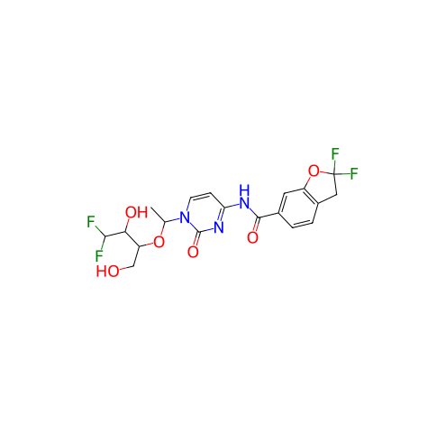 CC(OC(CO)C(O)C(F)F)n1ccc(NC(=O)c2ccc3c(c2)OC(F)(F)C3)nc1=O